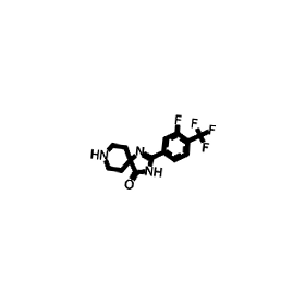 O=C1NC(c2ccc(C(F)(F)F)c(F)c2)=NC12CCNCC2